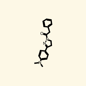 CN(C)c1ccc(C2=NN(C(=O)Cc3ccccc3)CC2)cc1